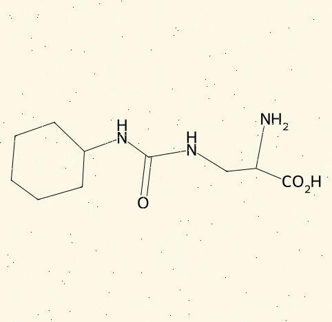 NC(CNC(=O)NC1CCCCC1)C(=O)O